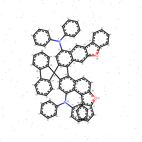 c1ccc(N(c2ccccc2)c2cc3c(c4cc5oc6ccccc6c5cc24)-c2c(cc(N(c4ccccc4)c4ccccc4)c4c2ccc2oc5ccccc5c24)C32c3ccccc3-c3ccccc32)cc1